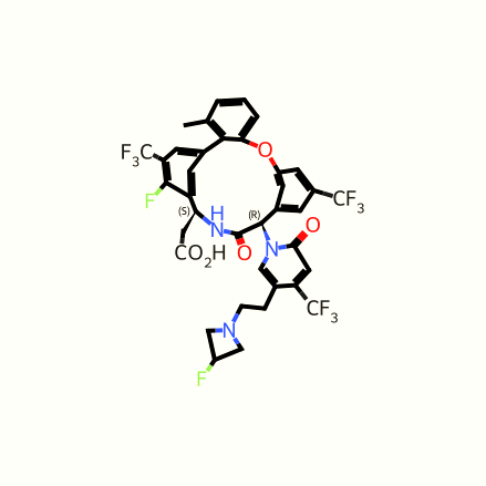 Cc1cccc2c1-c1cc(c(F)c(C(F)(F)F)c1)[C@H](CC(=O)O)NC(=O)[C@H](n1cc(CCN3CC(F)C3)c(C(F)(F)F)cc1=O)c1cc(cc(C(F)(F)F)c1)O2